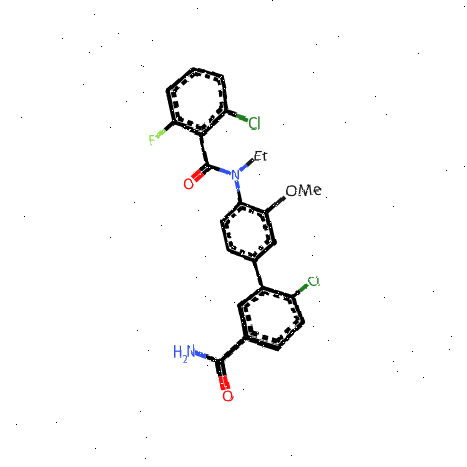 CCN(C(=O)c1c(F)cccc1Cl)c1ccc(-c2cc(C(N)=O)ccc2Cl)cc1OC